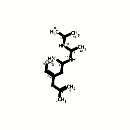 C=C(C)C/C(=C/C)CC(C)NC(C)NC(C)C